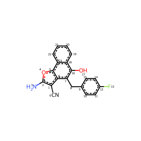 N#Cc1c(N)oc2c1c(Cc1ccc(F)cc1)c(O)c1ccccc12